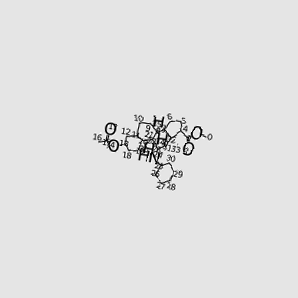 COC(=O)C1CC[C@H]2[C@@H]3CCC4CC(OC(C)=O)CC[C@]4(C)[C@@H]3C(NC3CCCCC3)C[C@]12C